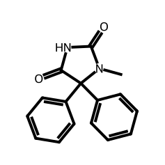 CN1C(=O)NC(=O)C1(c1ccccc1)c1ccccc1